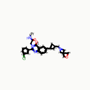 CC(C)NC(=O)Cn1c(-c2cccc(Cl)c2)nc2ccc(C3CC(CN4CC5(COC5)C4)C3)cc2c1=O